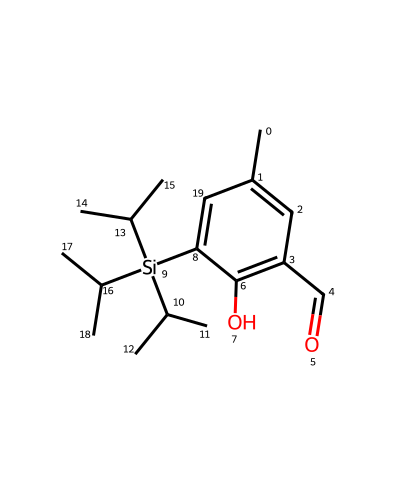 Cc1cc(C=O)c(O)c([Si](C(C)C)(C(C)C)C(C)C)c1